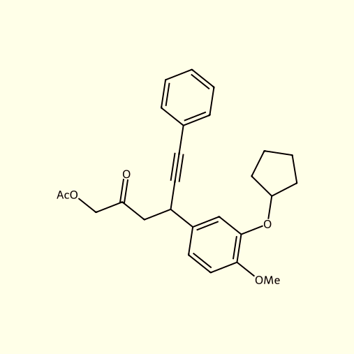 COc1ccc(C(C#Cc2ccccc2)CC(=O)COC(C)=O)cc1OC1CCCC1